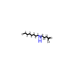 CCCCCCCCNCCCC(C)C